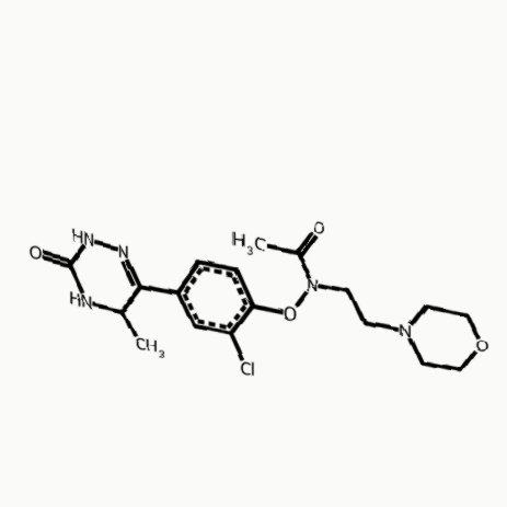 CC(=O)N(CCN1CCOCC1)Oc1ccc(C2=NNC(=O)NC2C)cc1Cl